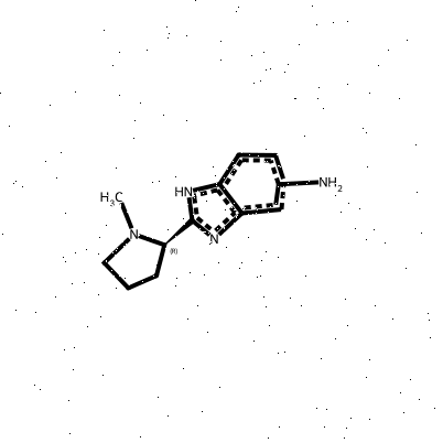 CN1CCC[C@@H]1c1nc2cc(N)ccc2[nH]1